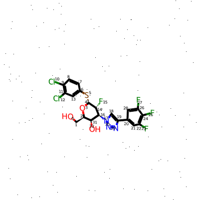 OC[C@H]1O[C@H](Sc2ccc(Cl)c(Cl)c2)[C@H](F)[C@@H](n2cc(-c3cc(F)c(F)c(F)c3)nn2)[C@H]1O